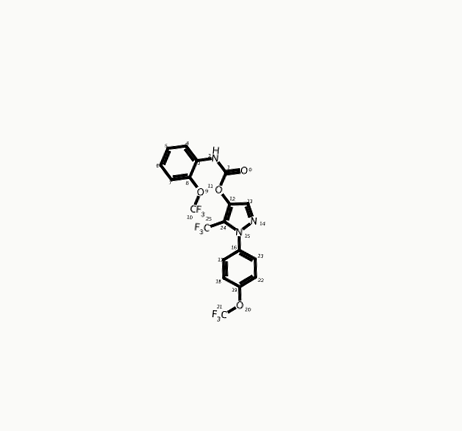 O=C(Nc1ccccc1OC(F)(F)F)Oc1cnn(-c2ccc(OC(F)(F)F)cc2)c1C(F)(F)F